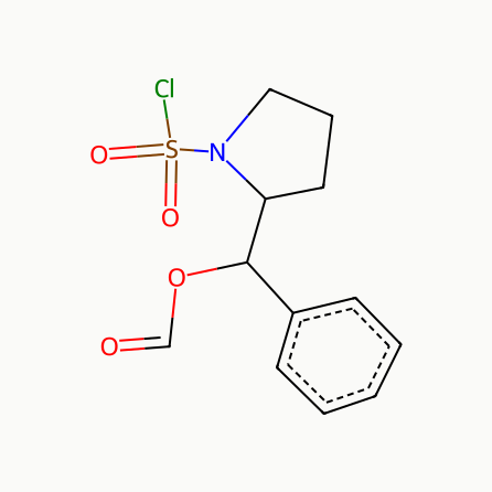 O=COC(c1ccccc1)C1CCCN1S(=O)(=O)Cl